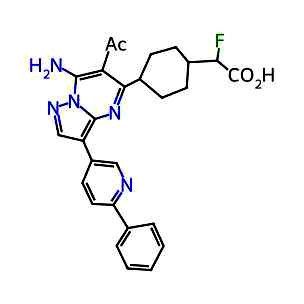 CC(=O)c1c(C2CCC(C(F)C(=O)O)CC2)nc2c(-c3ccc(-c4ccccc4)nc3)cnn2c1N